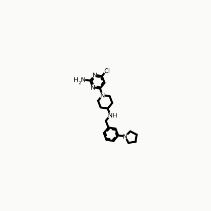 Nc1nc(Cl)cc(N2CCC(NCc3cccc(N4CCCC4)c3)CC2)n1